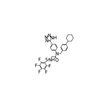 O=C(CNSc1c(F)c(F)c(F)c(F)c1F)N(Cc1ccc(C2CCCCC2)cc1)c1ccc(-c2nnn[nH]2)cc1